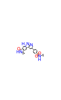 Nc1ncc(-c2ccc(S(=O)(=O)NC3CC3)cc2)cc1-c1ccc2c(c1)C1(CC1)NC2=O